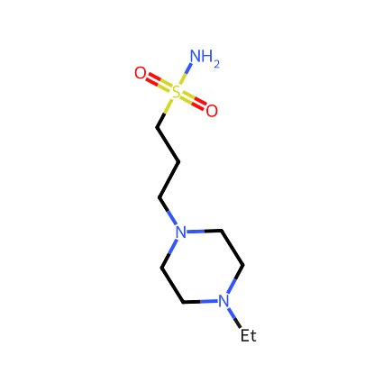 CCN1CCN(CCCS(N)(=O)=O)CC1